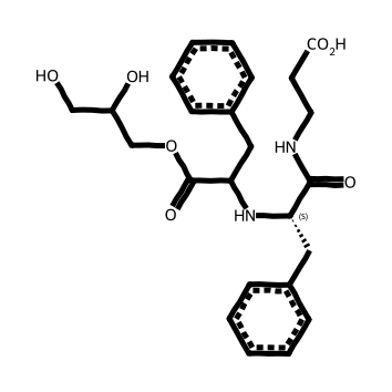 O=C(O)CCNC(=O)[C@H](Cc1ccccc1)NC(Cc1ccccc1)C(=O)OCC(O)CO